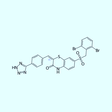 O=C1Nc2ccc(S(=O)(=O)Cc3c(Br)cccc3Br)cc2S/C1=C/c1ccc(-c2nn[nH]n2)cc1